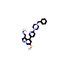 C=NCc1cnn2cc(OCC)cc(-c3ccc(N4CCN(Cc5ccccc5)CC4)nc3)c12